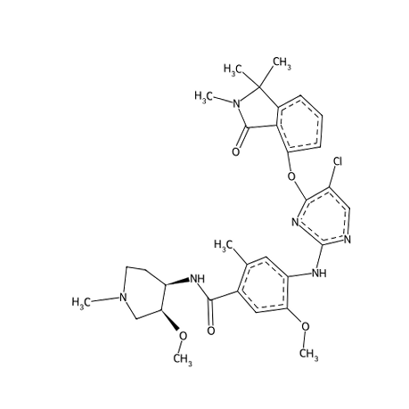 COc1cc(C(=O)N[C@@H]2CCN(C)C[C@@H]2OC)c(C)cc1Nc1ncc(Cl)c(Oc2cccc3c2C(=O)N(C)C3(C)C)n1